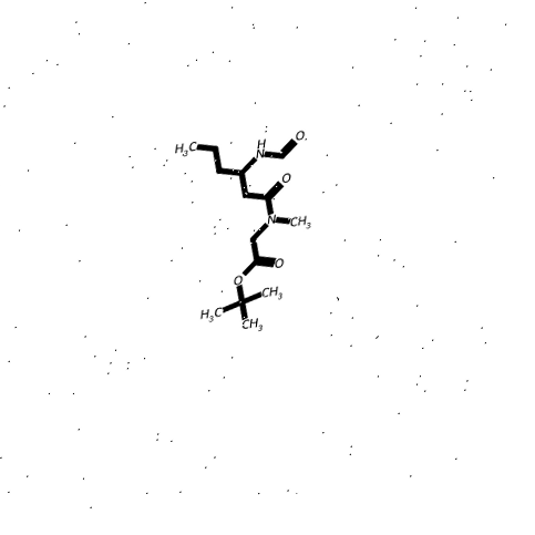 CCCC(CC(=O)N(C)CC(=O)OC(C)(C)C)NC=O